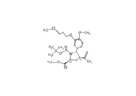 CCOC(=O)[C@@H]1C[C@H](C(C)=O)C(c2ccc(OC)c(OCCCOC)c2)N1C(=O)OC(C)(C)C